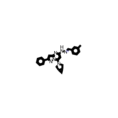 Cc1cccc(/C=N/Nc2cc(N3CC4CC4C3)n3nc(-c4ccccc4)cc3n2)c1